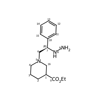 CCOC(=O)C1CCCN(C[C@H](NN)c2ccccc2)C1